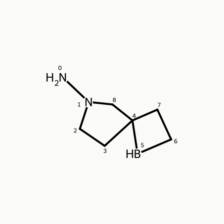 NN1CCC2(BCC2)C1